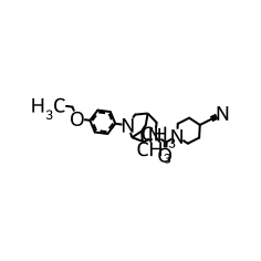 CCOc1ccc(N2CC3CN(C(=O)N4CCC(C#N)CC4)CC2C(C)(C)C3)cc1